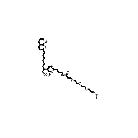 [N-]=[N+]=NCCOCCOCCOCCC(=O)NCCCc1ncc(C(CCCCCCc2ccc3c(n2)NCCC3)CC(=O)O)cn1